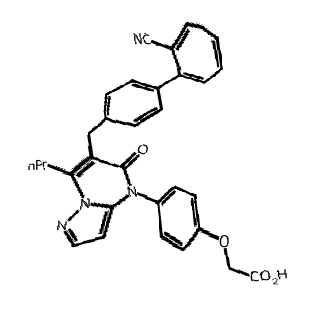 CCCc1c(Cc2ccc(-c3ccccc3C#N)cc2)c(=O)n(-c2ccc(OCC(=O)O)cc2)c2ccnn12